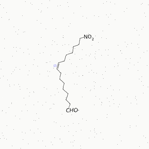 O=[C]CCCCCCC/C=C\CCCCCC[N+](=O)[O-]